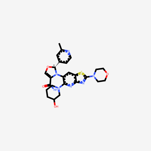 Cc1cc([C@H]2OC=C(C(N)=O)N2c2cc3sc(N4CCOCC4)nc3nc2N2CCCC(O)C2)ccn1